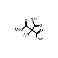 COC(=O)C(C(=O)OC)(C(=O)OC)[N+](=O)[O-]